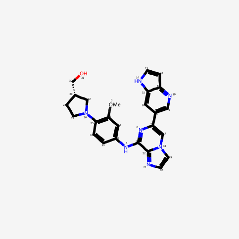 COc1cc(Nc2nc(-c3cnc4cc[nH]c4c3)cn3ccnc23)ccc1N1CC[C@H](CO)C1